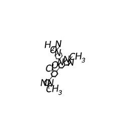 Cc1cncc(-c2ccc(-c3cc4cnc(C)nc4n(C4CCN(C(=O)CN)CC4)c3=O)c(Cl)c2)n1